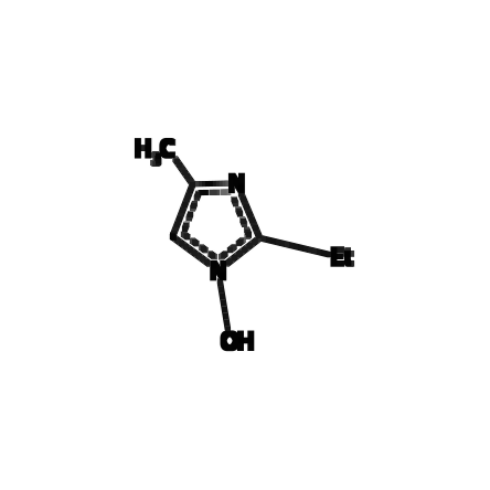 CCc1nc(C)cn1O